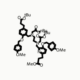 CCCCOC(=O)CN(CCN(CC(=O)OC(C)(C)C)Cc1nc(CCC(=O)OC)ccc1OCc1ccc(OC)cc1)Cc1cc(CCC(=O)OC(C)(C)C)ccc1OCc1ccc(OC)cc1